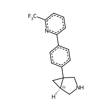 FC(F)(F)c1cccc(-c2ccc(C34CNC[C@H]3C4)cc2)n1